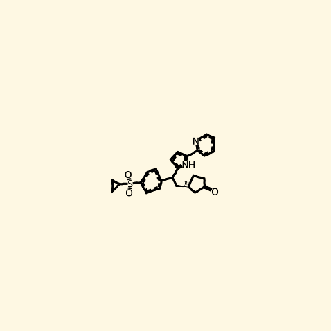 O=C1CC[C@H](CC(c2ccc(S(=O)(=O)C3CC3)cc2)c2ccc(-c3ccccn3)[nH]2)C1